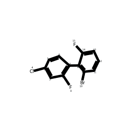 Fc1cc(Cl)ccc1-c1c(Br)[c]ccc1F